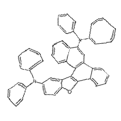 c1ccc(N(c2ccccc2)c2ccc3oc4c5ccccc5c5cc(N(c6ccccc6)c6ccccc6)c6ccccc6c5c4c3c2)cc1